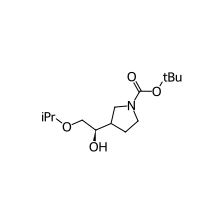 CC(C)OC[C@H](O)C1CCN(C(=O)OC(C)(C)C)C1